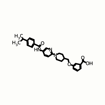 CC(C)c1ccc(C(=O)Nc2ccc(N3CCC(COc4cccc(C(=O)O)c4)CC3)nc2)cc1